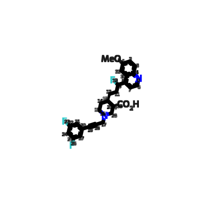 COc1ccc2nccc(C(F)CC[C@@H]3CCN(CC#Cc4cc(F)cc(F)c4)C[C@@H]3C(=O)O)c2c1